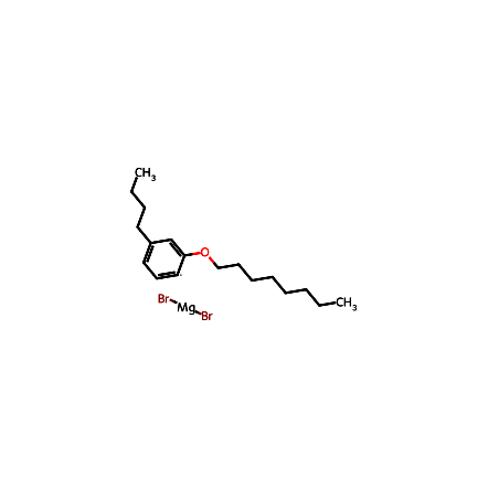 CCCCCCCCOc1[c]ccc(CCCC)c1.[Br][Mg][Br]